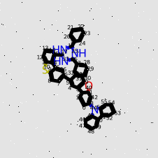 C1=CC2c3cc(-c4ccc5sc6cccc(C7NC(c8ccccc8)NC(c8ccccc8)N7)c6c5c4)ccc3OC2C=C1n1c2ccccc2c2ccccc21